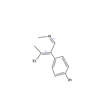 CC/C(C)=C(/C=N\C)c1ccc(C(C)C)cc1